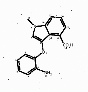 Cn1cc(Oc2ccccc2N)c2c(C(=O)O)cccc21